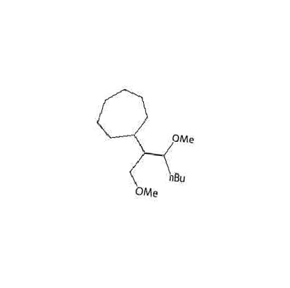 CCCCC(OC)C(COC)C1CCCCCC1